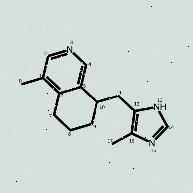 Cc1cncc2c1CCCC2Cc1[nH]cnc1C